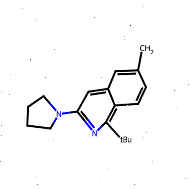 Cc1ccc2c(C(C)(C)C)nc(N3CCCC3)cc2c1